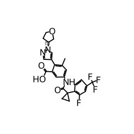 Cc1cc(NC(=O)C2(c3ccc(C(F)(F)F)cc3F)CC2)cc(C(=O)O)c1-c1cnn([C@H]2CCOC2)c1